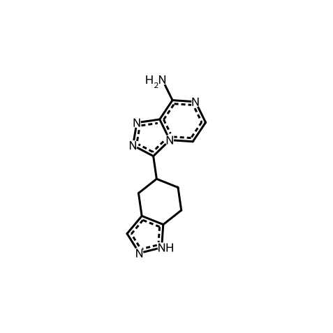 Nc1nccn2c(C3CCc4[nH]ncc4C3)nnc12